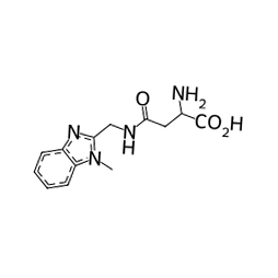 Cn1c(CNC(=O)CC(N)C(=O)O)nc2ccccc21